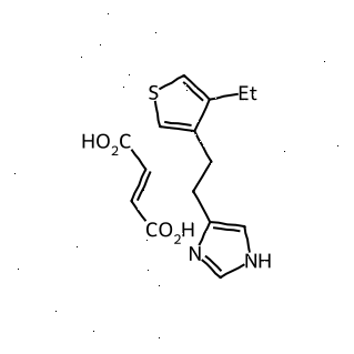 CCc1cscc1CCc1c[nH]cn1.O=C(O)/C=C/C(=O)O